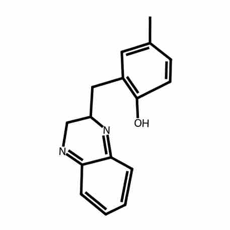 Cc1ccc(O)c(CC2CN=c3ccccc3=N2)c1